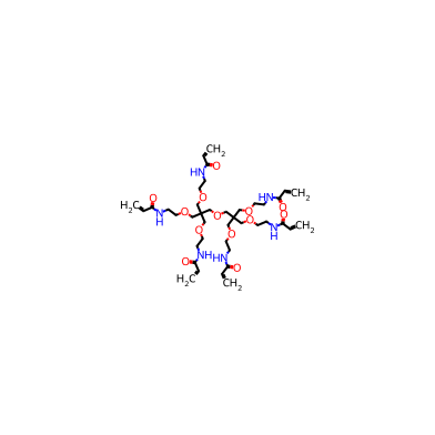 C=CC(=O)NCCOCC(COCCNC(=O)C=C)(COCCNC(=O)C=C)COCC(COCCNC(=O)C=C)(COCCNC(=O)C=C)COCCNC(=O)C=C